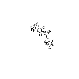 CN(C(=O)c1cc(/C(C=N)=C/Nc2c(Cl)cc(C(F)(C(F)(F)F)C(F)(F)F)cc2Cl)cnc1Cl)C1(C#N)CC1